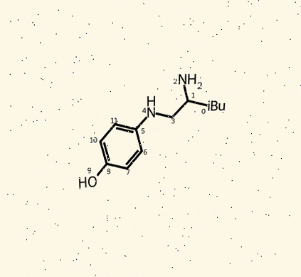 CCC(C)C(N)CNc1ccc(O)cc1